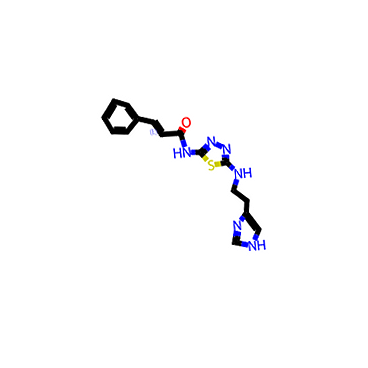 O=C(/C=C/c1ccccc1)Nc1nnc(NCCc2c[nH]cn2)s1